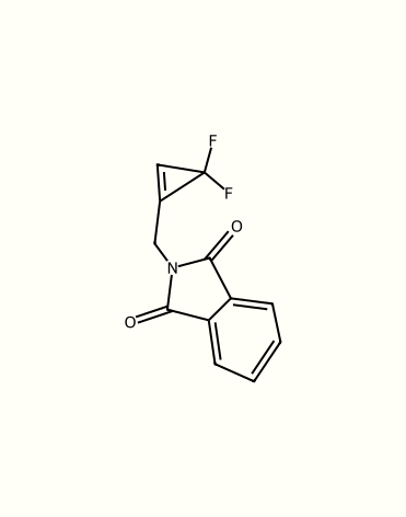 O=C1c2ccccc2C(=O)N1CC1=CC1(F)F